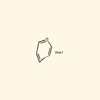 C1=C[CH]=[Tl][CH]=C1.[NaH]